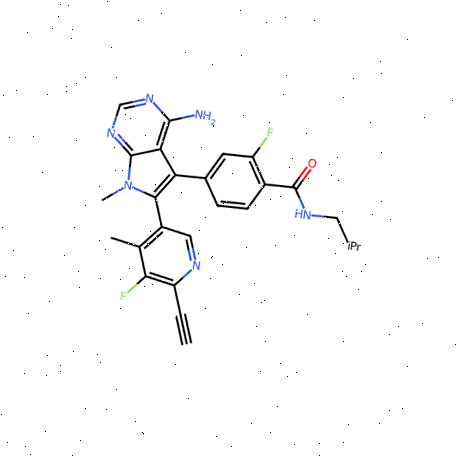 C#Cc1ncc(-c2c(-c3ccc(C(=O)NCC(C)C)c(F)c3)c3c(N)ncnc3n2C)c(C)c1F